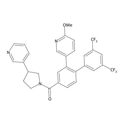 COc1ccc(-c2cc(C(=O)N3CCC(c4cccnc4)C3)ccc2-c2cc(C(F)(F)F)cc(C(F)(F)F)c2)cn1